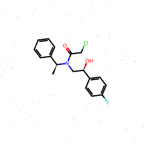 C[C@@H](c1ccccc1)N(C[C@@H](O)c1ccc(F)cc1)C(=O)CCl